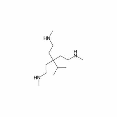 CNCCC(CCNC)(CCNC)C(C)C